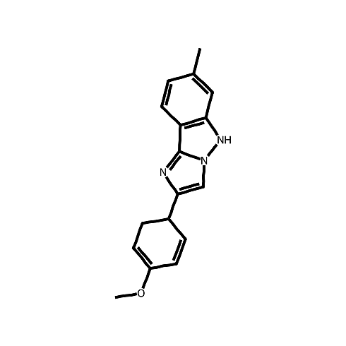 COC1=CCC(c2cn3[nH]c4cc(C)ccc4c3n2)C=C1